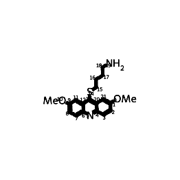 COc1ccc2nc3ccc(OC)cc3c(SCCCCN)c2c1